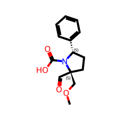 COC[C@]1(C=O)CC[C@@H](c2ccccc2)N1C(=O)O